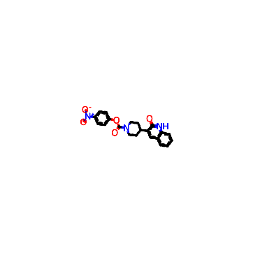 O=C(Oc1ccc([N+](=O)[O-])cc1)N1CCC(c2cc3ccccc3[nH]c2=O)CC1